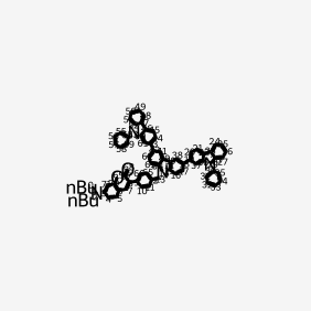 CCCCN(CCCC)c1ccc2cc(-c3ccc(Cn4c5ccc(-c6ccc7c8ccccc8n(-c8ccccc8)c7c6)cc5c5cc(-c6ccc7c8ccccc8n(-c8ccccc8)c7c6)ccc54)cc3)c(=O)oc2c1